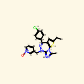 CCc1cc2c(s1)-n1c(C)nnc1N(Cc1ccc[n+]([O-])c1)N=C2c1ccc(Cl)cc1